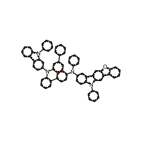 c1ccc(-c2cccc(N(c3ccc4c5ccccc5n(-c5ccccc5)c4c3)c3ccccc3-c3ccc(N(c4ccccc4)c4ccc5c(c4)c4cc6oc7ccccc7c6cc4n5-c4ccccc4)cc3)c2)cc1